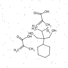 C=C(C)C(=O)O.C=C(C)C(=O)O.CC(C)C(CO)(CO)C1CCCCC1